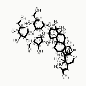 CC(C)=C[C@@H]1CO[C@]23C[C@]4(CO2)[C@H](CC[C@@H]2[C@@]5(C)CC[C@H](O[C@@H]6O[C@H](CO)[C@@H](O)[C@H](O[C@@H]7O[C@H](CO)[C@@H](O)[C@H](O)[C@H]7O)[C@H]6O[C@@H]6O[C@@H](CO)[C@H](O)[C@H]6O)C(C)(C)[C@@H]5CC[C@]24C)[C@H]3[C@@]1(C)O